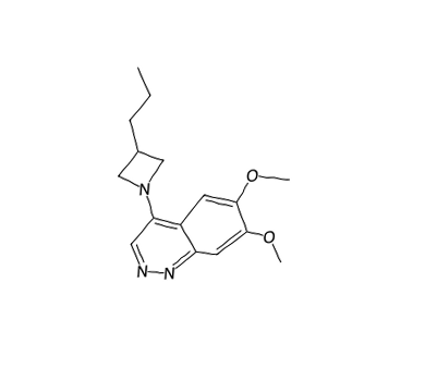 CCCC1CN(c2cnnc3cc(OC)c(OC)cc23)C1